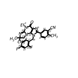 CCN1C(=O)c2nc(-c3ccc(C)c(C#N)c3)n(Cc3ccc(F)cc3F)c2N2CC(C)(C)N=C12